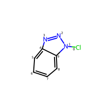 Cln1nnc2ccccc21